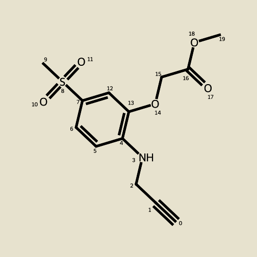 C#CCNc1ccc(S(C)(=O)=O)cc1OCC(=O)OC